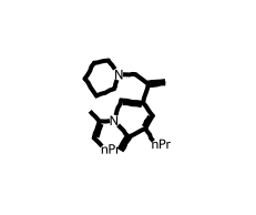 C=C(CN1CCCCC1)C1=CN(/C(C)=C\CCC)C(=C)C(CCC)=C1